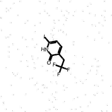 O=c1[nH]c(I)ccc1CC(F)(F)F